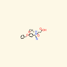 COc1cc(C(C#N)NC(=O)CCC(=O)O)ccc1OCc1ccccc1